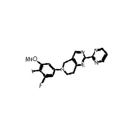 COc1cc(N2CCc3nc(-c4ncccn4)ncc3C2)cc(F)c1I